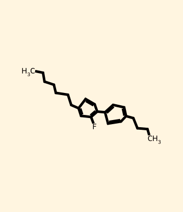 CCCCCCCc1ccc(-c2ccc(CCCC)cc2)c(F)c1